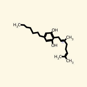 CCCCCCCc1cc(O)c(C/C=C(\C)CCC=C(C)C)c(O)c1